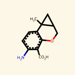 CC12CC1COc1c2ccc(N)c1C(=O)O